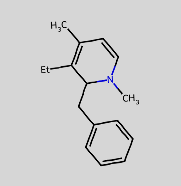 CCC1=C(C)C=CN(C)C1Cc1ccccc1